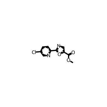 COC(=O)c1cnc(-c2ccc(Cl)cn2)o1